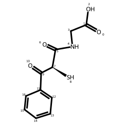 O=C(O)CNC(=O)[C@@H](S)C(=O)c1ccccc1